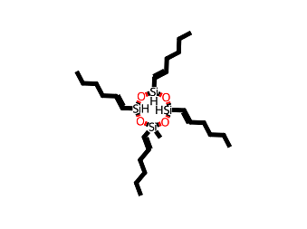 CCCCC=C[SiH]1O[SiH](C=CCCCC)O[Si](C)(C=CCCCC)O[SiH](C=CCCCC)O1